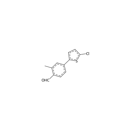 Cc1cc(-c2ccc(Cl)s2)ccc1C=O